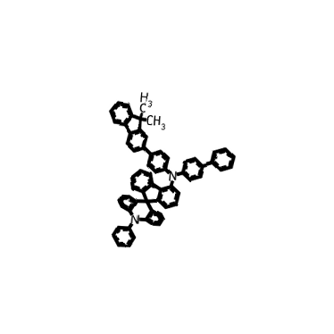 CC1(C)c2ccccc2-c2ccc(-c3ccc(N(c4ccc(-c5ccccc5)cc4)c4cccc5c4-c4ccccc4C54c5ccccc5N(c5ccccc5)c5ccccc54)cc3)cc21